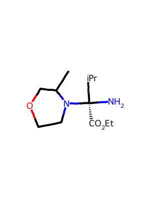 CCOC(=O)[C@@](N)(C(C)C)N1CCOCC1C